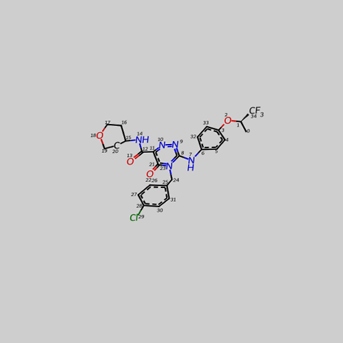 C[C@@H](Oc1ccc(Nc2nnc(C(=O)NC3CCOCC3)c(=O)n2Cc2ccc(Cl)cc2)cc1)C(F)(F)F